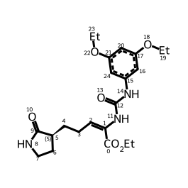 CCOC(=O)C(=CCC[C@H]1CCNC1=O)NC(=O)Nc1cc(OCC)cc(OCC)c1